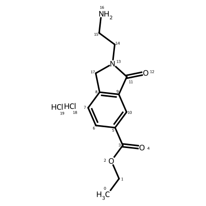 CCOC(=O)c1ccc2c(c1)C(=O)N(CCN)C2.Cl.Cl